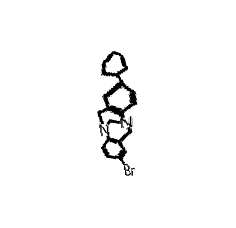 Brc1ccc2c(c1)CN1CN2Cc2cc(C3C=CC=CC3)ccc21